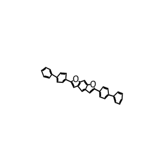 c1ccc(-c2ccc(-c3cc4cc5cc(-c6ccc(-c7ccccc7)cc6)oc5cc4o3)cc2)cc1